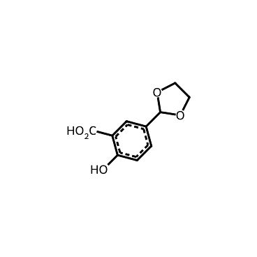 O=C(O)c1cc(C2OCCO2)ccc1O